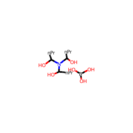 CCCC(O)N(C(O)CCC)C(O)CCC.OB(O)O